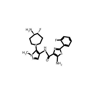 Cn1ncc(NC(=O)c2nc(-c3ccccc3F)sc2N)c1N1CC[C@@H](N)[C@H](F)CC1